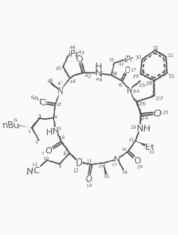 CCCC[C@@H](C)CC1NC(=O)C(CCC#N)OC(=O)[C@H](C)N(C)C(=O)[C@H](CC)NC(=O)C(Cc2ccccc2)N(C)C(=O)C(CC(C)C)NC(=O)C(CC(C)C)N(C)C1=O